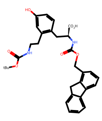 CC(C)(C)OC(=O)NCCc1cc(O)ccc1C[C@H](NC(=O)OCc1cccc2c1Cc1ccccc1-2)C(=O)O